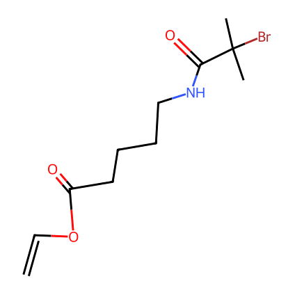 C=COC(=O)CCCCNC(=O)C(C)(C)Br